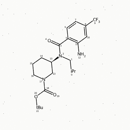 CC(C)CN(C(=O)c1ccc(C(F)(F)F)cc1N)[C@@H]1CCCN(C(=O)OC(C)(C)C)C1